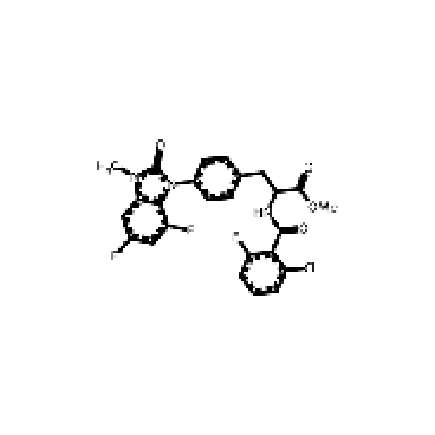 COC(=O)C(Cc1ccc(-n2c(=O)n(C)c3cc(F)cc(F)c32)cc1)NC(=O)c1c(F)cccc1Cl